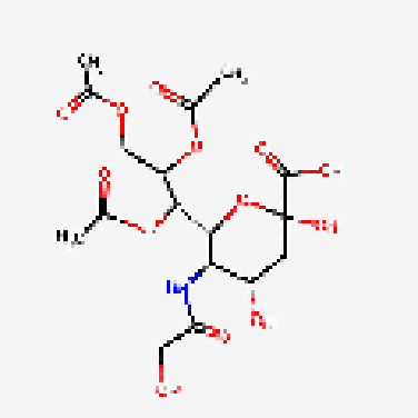 CC(=O)OCC(OC(C)=O)C(OC(C)=O)[C@@H]1OC(O)(C(=O)O)C[C@H](O)[C@H]1NC(=O)CO